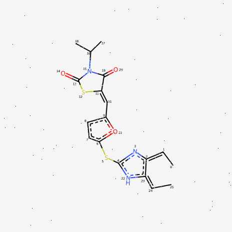 C/C=c1/nc(Sc2ccc(/C=C3\SC(=O)N(C(C)C)C3=O)o2)[nH]/c1=C/C